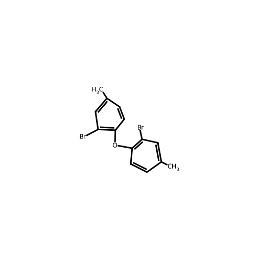 Cc1ccc(Oc2ccc(C)cc2Br)c(Br)c1